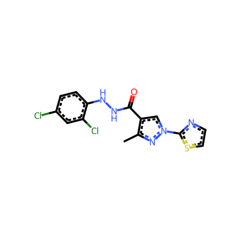 Cc1nn(-c2nccs2)cc1C(=O)NNc1ccc(Cl)cc1Cl